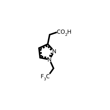 O=C(O)Cc1ccn(CC(F)(F)F)n1